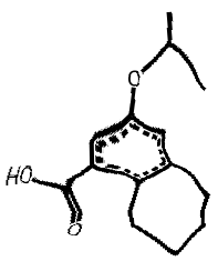 CC(C)Oc1cc2c(c(C(=O)O)c1)CCCC2